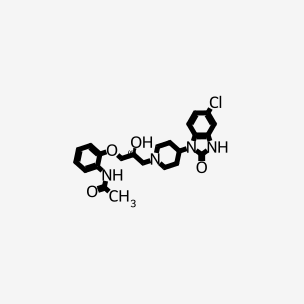 CC(=O)Nc1ccccc1OC[C@@H](O)CN1CCC(n2c(=O)[nH]c3cc(Cl)ccc32)CC1